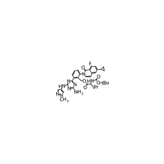 CC(C)C(NC(=O)OC(C)(C)C)C(=O)OCc1c(-c2nc(N)nc(Nc3cnn(C)c3)n2)cccc1-n1ccc2cc(C3CC3)cc(F)c2c1=O